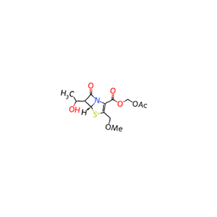 COCC1=C(C(=O)OCOC(C)=O)N2C(=O)C(C(C)O)[C@H]2S1